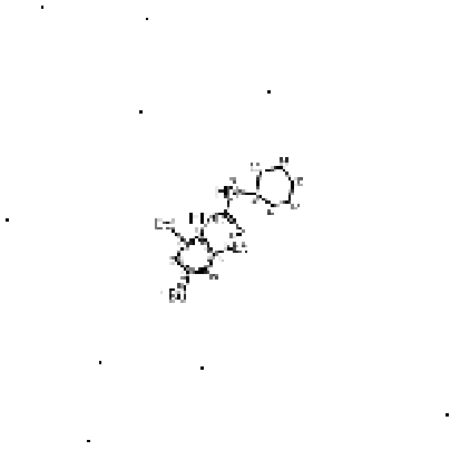 CCCCc1cc(CC)c(NC(=S)NC2CCCCC2)c(CC)c1